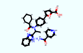 CC(c1nc2ccccc2[nH]1)N(C(=O)C1CCCCC1)c1ccc(-c2ccc(C(=O)O)o2)cc1.NC(=O)c1ccncc1